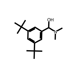 CN(C)C(O)c1cc(C(C)(C)C)cc(C(C)(C)C)c1